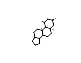 CC1CC(=O)C[C@@H]2CC[C@H]3[C@@H]4CCC[C@@]4(C)CC[C@@H]3[C@@]12C